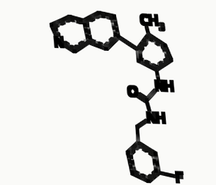 Cc1ccc(NC(=O)NCc2cccc(F)c2)cc1-c1ccc2ccncc2c1